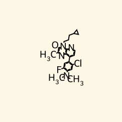 Cc1nc2c(-c3cc(F)c(N(C)C)cc3Cl)ccnc2n(CCCC2CC2)c1=O